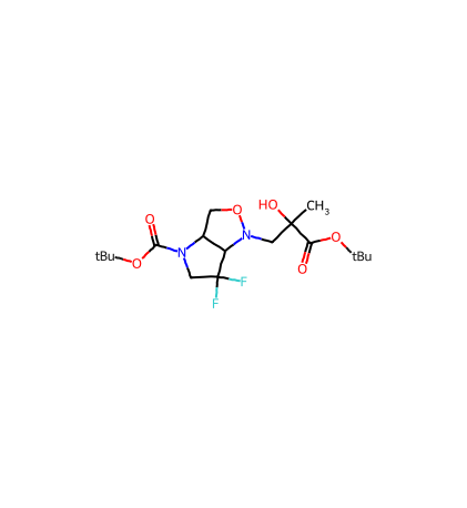 CC(C)(C)OC(=O)N1CC(F)(F)C2C1CON2CC(C)(O)C(=O)OC(C)(C)C